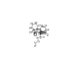 CCCCC(C)N(N)C(=O)C1(c2ccccc2)CCCCC12CC2